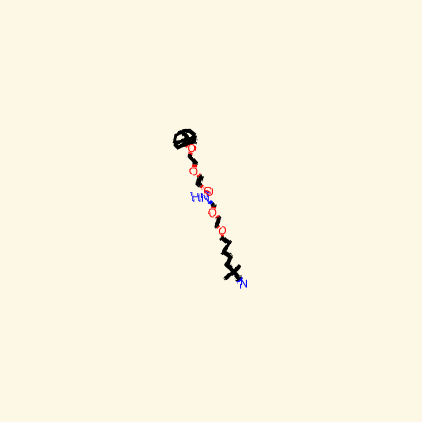 CC(C)(C#N)CCCCCOCCOCNOCCOCCOC12CC3CC(CC(C3)C1)C2